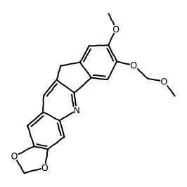 COCOc1cc2c(cc1OC)Cc1cc3cc4c(cc3nc1-2)OCO4